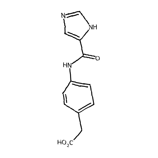 O=C(O)Cc1ccc(NC(=O)c2cnc[nH]2)cc1